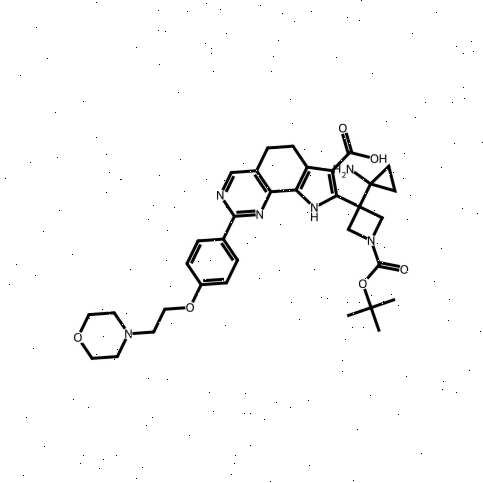 CC(C)(C)OC(=O)N1CC(c2[nH]c3c(c2C(=O)O)CCc2cnc(-c4ccc(OCCN5CCOCC5)cc4)nc2-3)(C2(N)CC2)C1